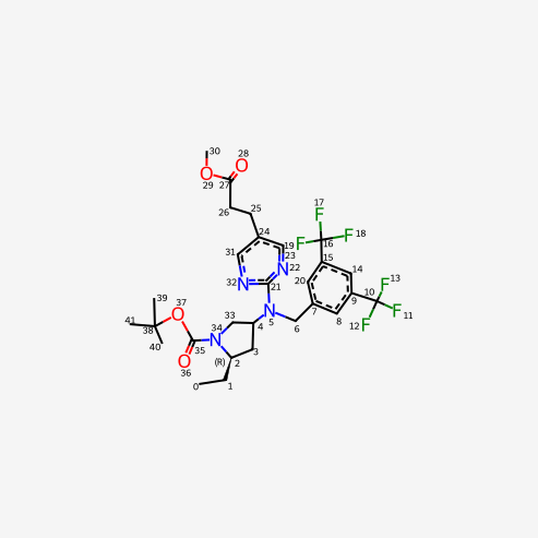 CC[C@@H]1CC(N(Cc2cc(C(F)(F)F)cc(C(F)(F)F)c2)c2ncc(CCC(=O)OC)cn2)CN1C(=O)OC(C)(C)C